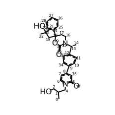 CC(CO)Cn1ccc(-c2ccc([C@H](C)N3CCC(CC(C)(C)O)(c4ccccc4)OC3=O)cc2)cc1=O